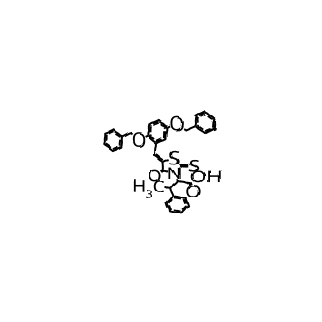 CC(c1ccccc1)C(C(=O)O)N1C(=O)C(=Cc2cc(OCc3ccccc3)ccc2OCc2ccccc2)SC1=S